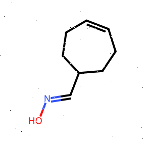 ON=CC1CCC=CCC1